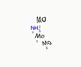 N.[Mo].[Mo].[Mo]